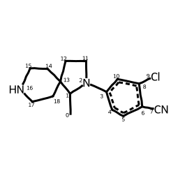 CC1N(c2ccc(C#N)c(Cl)c2)CCC12CCNCC2